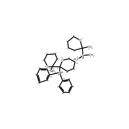 C[SiH](C)C1(C)CCCCO1.[SiH3]C1(C2([SiH](c3ccccc3)c3ccccc3)CCCCO2)CCCCO1